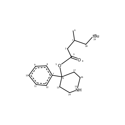 CC(CC(=O)OC1(c2ccccc2)CCNCC1)CC(C)(C)C